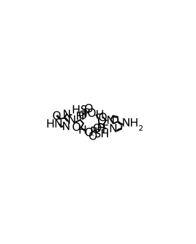 Nc1ccnc2c1ccn2[C@@H]1O[C@@H]2COP(=O)(S)O[C@@H]3C[C@@H](COP(=O)(S)O[C@H]2[C@@H]1F)O[C@H]3n1cnc2c(=O)[nH]cnc21